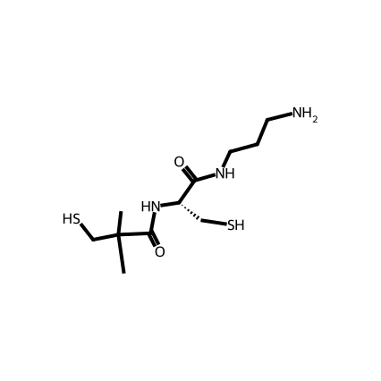 CC(C)(CS)C(=O)N[C@@H](CS)C(=O)NCCCN